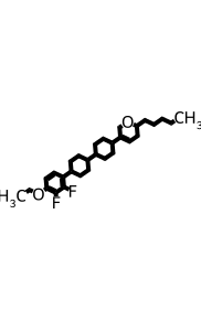 CCCCCC1CC=C(C2CCC(C3CCC(c4ccc(OCC)c(F)c4F)CC3)CC2)CO1